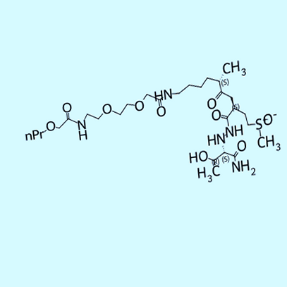 CCCOCC(=O)NCCOCCOCC(=O)NCCCC[C@H](C)C(=O)C[C@@H](CC[S+](C)[O-])C(=O)NN[C@H](C(N)=O)[C@@H](C)O